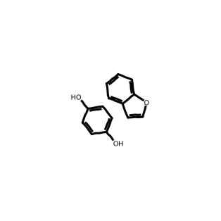 Oc1ccc(O)cc1.c1ccc2occc2c1